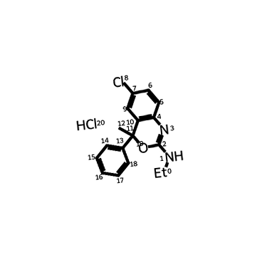 CCNC1=Nc2ccc(Cl)cc2C(C)(c2ccccc2)O1.Cl